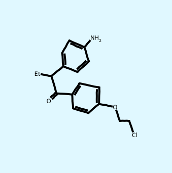 CCC(C(=O)c1ccc(OCCCl)cc1)c1ccc(N)cc1